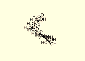 CC(=O)O.CC(=O)O.CC(=O)O.CC(=O)O.CC(=O)O.CC(=O)O.NNC[C@H](O)[C@H](O)[C@H](O)CO